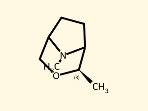 C[C@H]1OCC2CCC1N2C